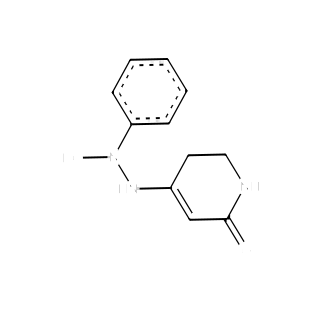 CN(NC1=CC(=O)NCC1)c1ccccc1